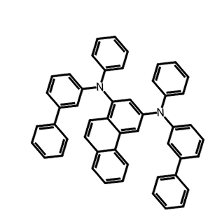 c1ccc(-c2cccc(N(c3ccccc3)c3cc(N(c4ccccc4)c4cccc(-c5ccccc5)c4)c4ccc5ccccc5c4c3)c2)cc1